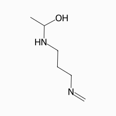 C=NCCCNC(C)O